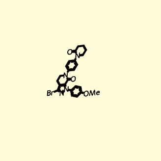 COc1ccc(-n2nc(Br)c3c2C(=O)N(c2ccc(N4CCCCC4=O)cc2)CC3)cc1